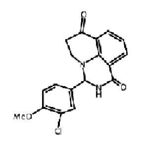 COc1ccc(C2NC(=O)c3cccc4c3N2CCC4=O)cc1Cl